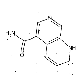 NC(=O)c1cncc2c1C=CCN2